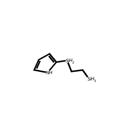 [SiH3]CC[SiH2]c1ccc[nH]1